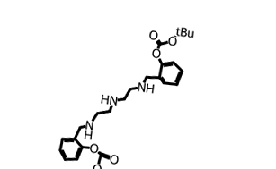 CC(C)(C)OC(=O)Oc1ccccc1CNCCNCCNCc1ccccc1OC(=O)OC(C)(C)C